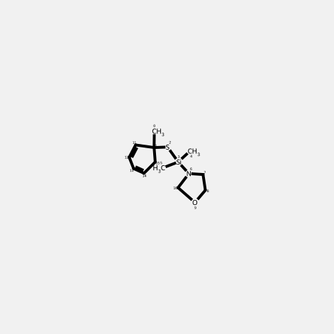 CC1(S[Si](C)(C)N2CCOC2)C=CC=CC1